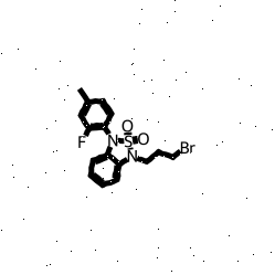 Cc1ccc(N2c3ccccc3N(CCCBr)S2(=O)=O)c(F)c1